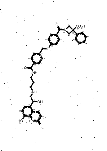 O=C(NCCCNCC(O)c1ccc(O)c2[nH]c(=O)ccc12)c1ccc(COc2ccc(C(=O)N3CC(C(=O)O)(c4ccccc4)C3)cc2)cc1